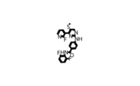 CSc1cnc(Nc2ccc(C(=O)Nc3c(F)cccc3F)cc2)nc1-c1cccnc1F